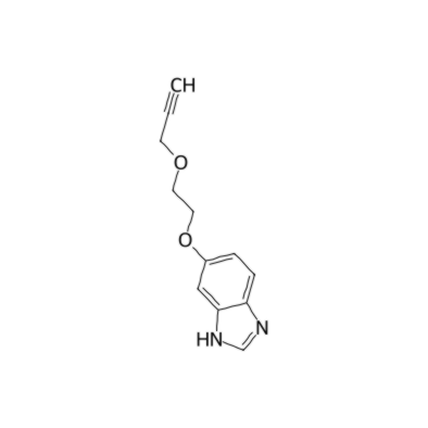 C#CCOCCOc1ccc2nc[nH]c2c1